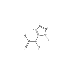 Cn1nnnc1C(S)C(=O)Cl